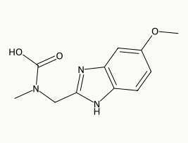 COc1ccc2[nH]c(CN(C)C(=O)O)nc2c1